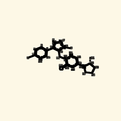 Cc1ccc(-c2nnn(C)c2Cn2ncc(N3CCC[C@H]3C)cc2=O)cn1